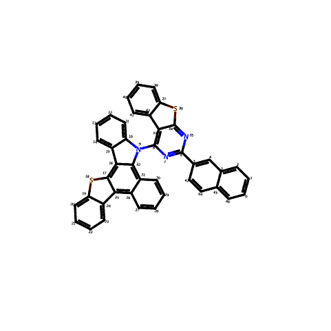 c1ccc2cc(-c3nc(-n4c5ccccc5c5c6sc7ccccc7c6c6ccccc6c54)c4c(n3)sc3ccccc34)ccc2c1